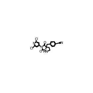 N#Cc1ccc(CC23CCNN2C(=O)N(c2cc(Cl)nc(Cl)c2)C3=O)cc1